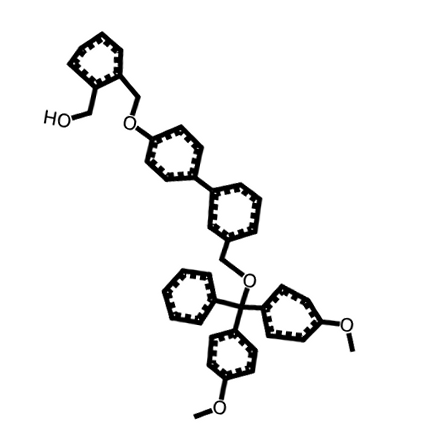 COc1ccc(C(OCc2cccc(-c3ccc(OCc4ccccc4CO)cc3)c2)(c2ccccc2)c2ccc(OC)cc2)cc1